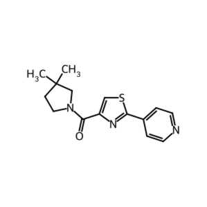 CC1(C)CCN(C(=O)c2csc(-c3ccncc3)n2)C1